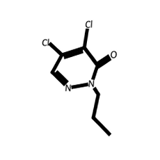 CCCn1ncc(Cl)c(Cl)c1=O